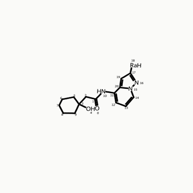 O=C(CC1(O)CCCCC1)Nc1cccn2n[c]([RaH])cc12